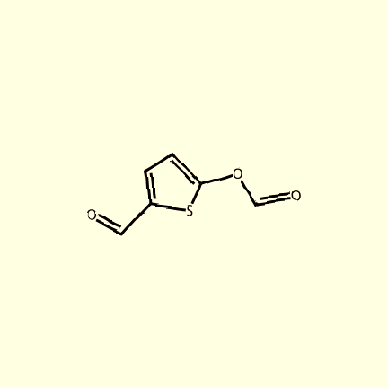 O=COc1ccc(C=O)s1